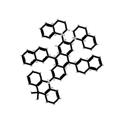 CC1(C)C2=C(CCC=C2)N(c2ccc3c(C4=Cc5ccccc5CC4)c4cc(N5CCCC6=C5CCC=C6)c(N5CCCc6ccccc65)cc4c(-c4ccc5ccccc5c4)c3c2)C2=C1CCC=C2